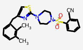 Cc1cccc(Cc2csc(N3CCN(S(=O)(=O)c4ccccc4C#N)CC3)n2)c1C